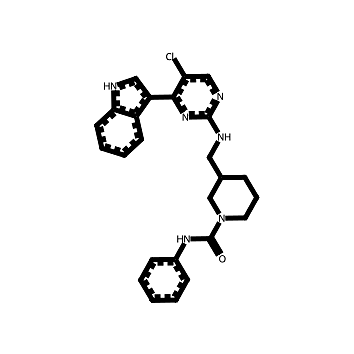 O=C(Nc1cc[c]cc1)N1CCCC(CNc2ncc(Cl)c(-c3c[nH]c4ccccc34)n2)C1